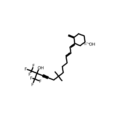 C=C1CC[C@H](O)CC1=CC=CCCCC(C)(C)CC#CC(O)(C(F)(F)F)C(F)(F)F